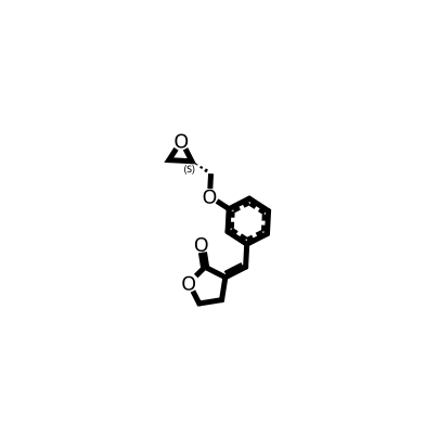 O=C1OCCC1=Cc1cccc(OC[C@@H]2CO2)c1